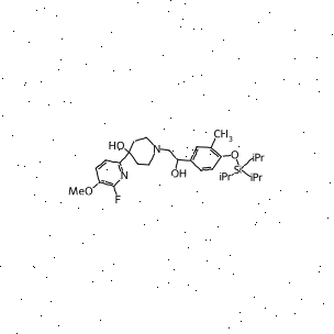 COc1ccc(C2(O)CCN(CC(O)c3ccc(O[Si](C(C)C)(C(C)C)C(C)C)c(C)c3)CC2)nc1F